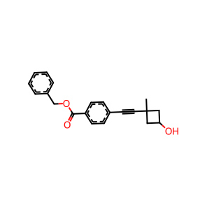 CC1(C#Cc2ccc(C(=O)OCc3ccccc3)cc2)CC(O)C1